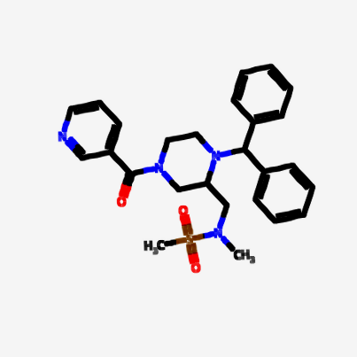 CN(CC1CN(C(=O)c2cccnc2)CCN1C(c1ccccc1)c1ccccc1)S(C)(=O)=O